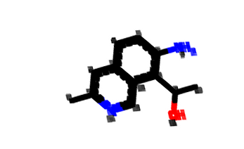 Cc1cc2ccc(N)c(C(C)O)c2cn1